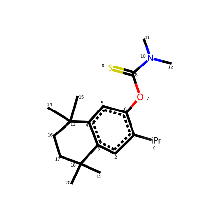 CC(C)c1cc2c(cc1OC(=S)N(C)C)C(C)(C)CCC2(C)C